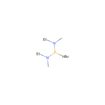 CCCCP(N(C)CC)N(C)CC